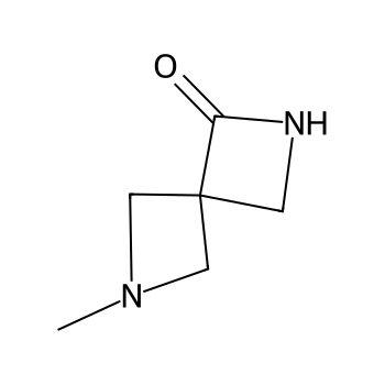 CN1CC2(CNC2=O)C1